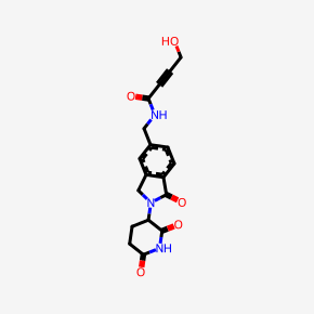 O=C(C#CCO)NCc1ccc2c(c1)CN(C1CCC(=O)NC1=O)C2=O